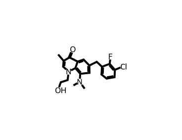 Cc1cn(CCO)c2c(N(C)C)cc(Cc3cccc(Cl)c3F)cc2c1=O